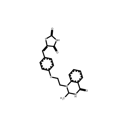 CC1NC(=O)c2ccccc2N1CCOc1ccc(C=C2SC(=O)NC2=O)cc1